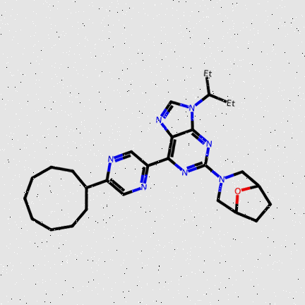 CCC(CC)n1cnc2c(-c3cnc(C4CCCCCCCC4)cn3)nc(N3CC4CCC(C3)O4)nc21